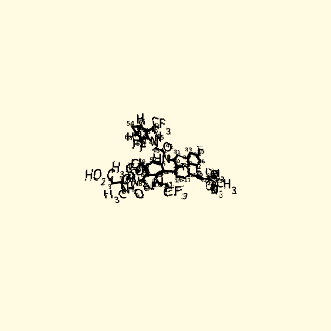 CN(CCC(=O)O)C(=O)N(c1nn(CC(F)(F)F)c2c(-c3ccc(C#CC(C)(C)S(C)(=O)=O)nc3C(Cc3cc(F)cc(F)c3)NC(=O)Cn3nc(C(F)(F)F)c4c3C(F)(F)[C@@H]3C[C@H]43)ccc(Cl)c12)S(C)(=O)=O